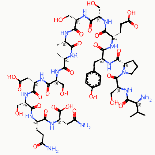 CC(C)[C@H](N)C(=O)N[C@@H](CO)C(=O)N1CCC[C@H]1C(=O)N[C@@H](Cc1ccc(O)cc1)C(=O)N[C@@H](CCC(=O)O)C(=O)N[C@@H](CO)C(=O)N[C@@H](CO)C(=O)N[C@@H](C)C(=O)N[C@@H](C)C(=O)N[C@@H](CO)C(=O)N[C@@H](CC(=O)O)C(=O)N[C@@H](CO)C(=O)N[C@@H](CCC(N)=O)C(=O)N[C@@H](CC(N)=O)C(=O)O